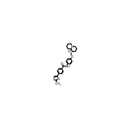 Cc1nc(-c2ccc(C(=O)Nc3ccc(OC[C@@H]4CCCN5CCCC[C@H]45)cc3)cc2)cs1